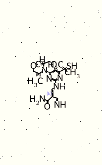 C[C@@H]1COC[C@H]2COc3c(nc(N/C=C(\C=N)C(N)=O)nc3C(C)(C)S)N21